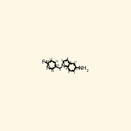 Nc1ccc2c(ccn2Cc2ccc(F)nc2)c1